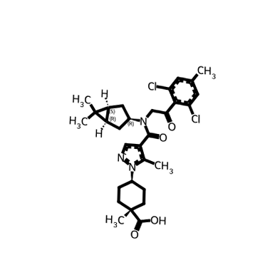 Cc1cc(Cl)c(C(=O)CN(C(=O)c2cnn([C@H]3CC[C@](C)(C(=O)O)CC3)c2C)[C@H]2C[C@@H]3[C@H](C2)C3(C)C)c(Cl)c1